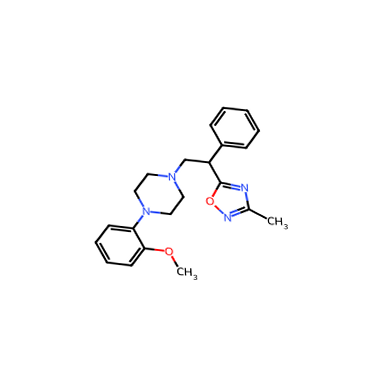 COc1ccccc1N1CCN(CC(c2ccccc2)c2nc(C)no2)CC1